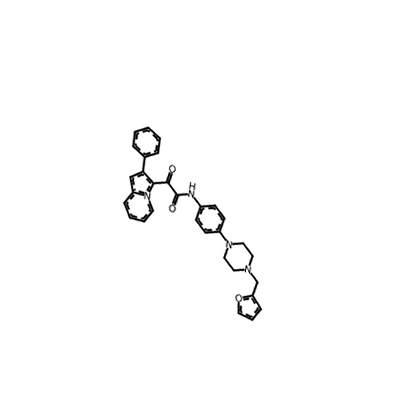 O=C(Nc1ccc(N2CCN(Cc3ccco3)CC2)cc1)C(=O)c1c(-c2ccccc2)cc2ccccn12